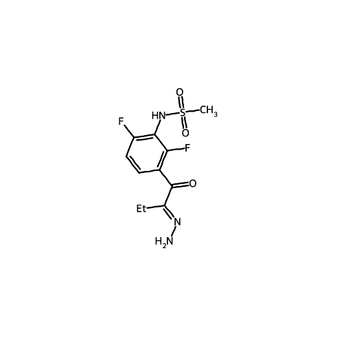 CC/C(=N\N)C(=O)c1ccc(F)c(NS(C)(=O)=O)c1F